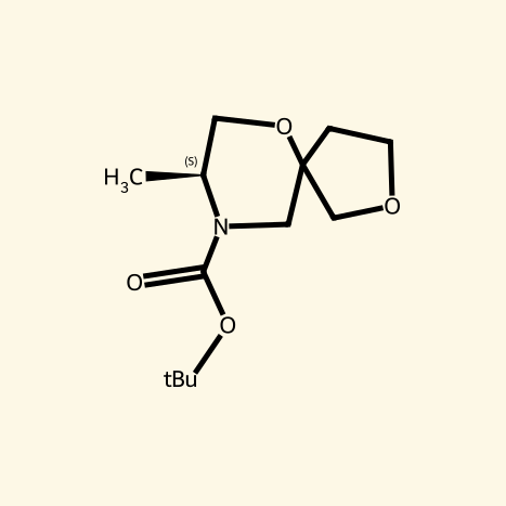 C[C@H]1COC2(CCOC2)CN1C(=O)OC(C)(C)C